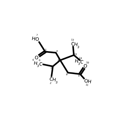 CC(C)C(CC(=O)O)(CC(=O)O)C(C)C